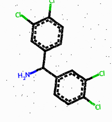 NC(c1ccc(Cl)c(Cl)c1)c1ccc(Cl)c(Cl)c1